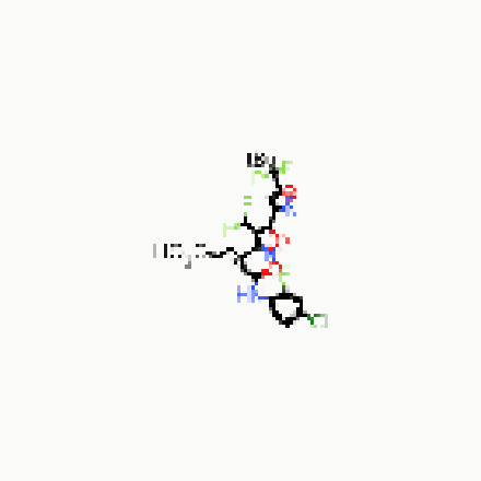 CC(C)(C)C(F)(F)c1cc(-c2onc([C@H](CCC(=O)O)CC(=O)Nc3ccc(Cl)cc3F)c2C(F)F)no1